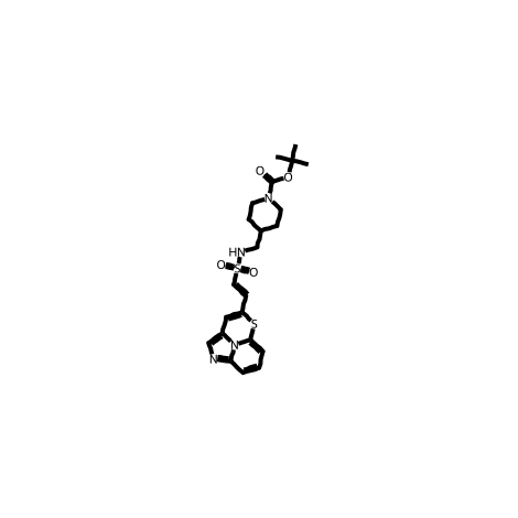 CC(C)(C)OC(=O)N1CCC(CNS(=O)(=O)/C=C/C2=Cc3cnc4cccc(n34)S2)CC1